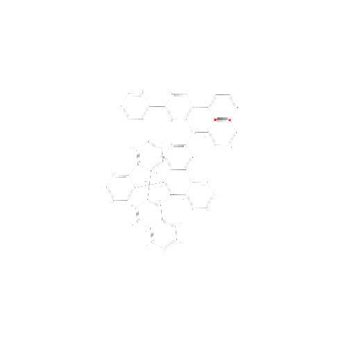 c1ccc(-c2ccc(-c3ccccc3)c(N(c3ccccc3)c3ccc4c5c(c6ccccc6c4c3)-c3c(ccc4ccccc34)C53c4ccccc4-c4ccccc43)c2)cc1